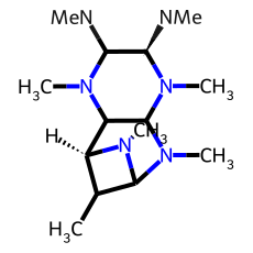 CNC1[C@@H](NC)N(C)C2C([C@@H]3C(C)C(N2C)N3C)N1C